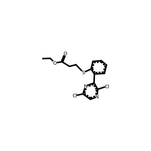 CCOC(=O)CCSc1ccccc1-c1nc(Cl)cnc1Cl